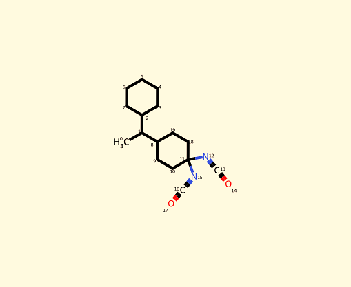 CC(C1CCCCC1)C1CCC(N=C=O)(N=C=O)CC1